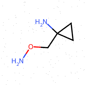 NOCC1(N)CC1